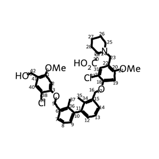 COc1cc(OCc2cccc(-c3cccc(COc4cc(OC)c(CN5CCCC[C@H]5C(=O)O)cc4Cl)c3C)c2C)c(Cl)cc1CO